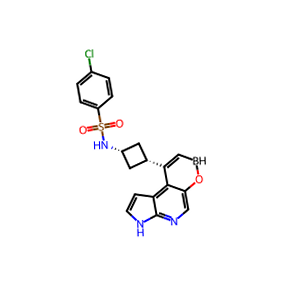 O=S(=O)(N[C@H]1C[C@@H](C2=CBOc3cnc4[nH]ccc4c32)C1)c1ccc(Cl)cc1